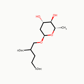 CCCCCCCCCCCCC(CCCCCCCCCC)CO[C@H]1C[C@H](O)[C@@H](O)[C@H](C)O1